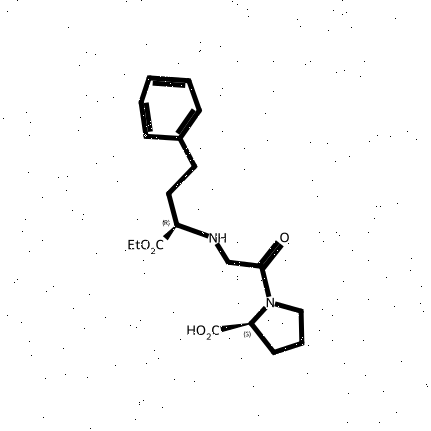 CCOC(=O)[C@@H](CCc1ccccc1)NCC(=O)N1CCC[C@H]1C(=O)O